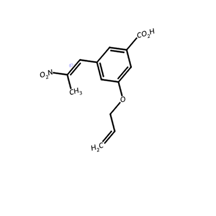 C=CCOc1cc(/C=C(\C)[N+](=O)[O-])cc(C(=O)O)c1